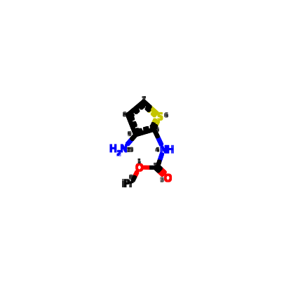 CC(C)OC(=O)Nc1sccc1N